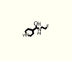 OC(NCCF)C1CCNCC1